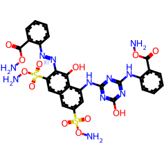 NOC(=O)c1ccccc1/N=N/c1c(S(=O)(=O)ON)cc2cc(S(=O)(=O)ON)cc(Nc3nc(O)nc(Nc4ccccc4C(=O)ON)n3)c2c1O